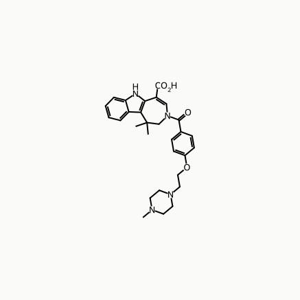 CN1CCN(CCOc2ccc(C(=O)N3C=C(C(=O)O)c4[nH]c5ccccc5c4C(C)(C)C3)cc2)CC1